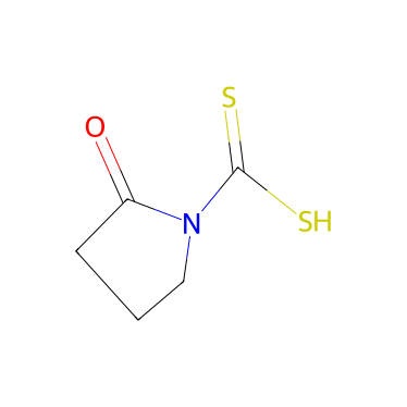 O=C1CCCN1C(=S)S